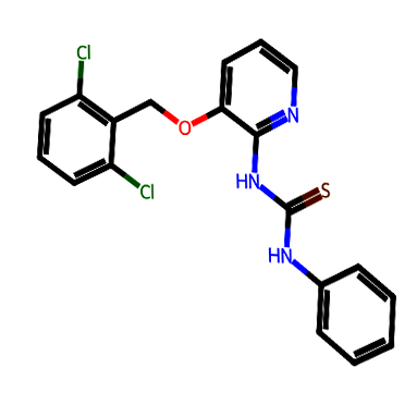 S=C(Nc1ccccc1)Nc1ncccc1OCc1c(Cl)cccc1Cl